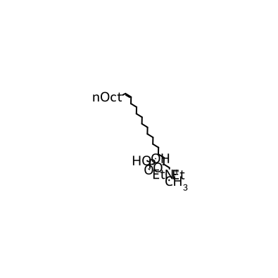 CCCCCCCC/C=C\CCCCCCCCCCCCC(C[N+](C)(CC)CC)OP(=O)(O)O